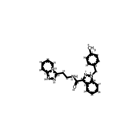 Cc1ccc(Cn2nc(C(=O)NCCc3nnc4ccccn34)c3ccccc32)cc1